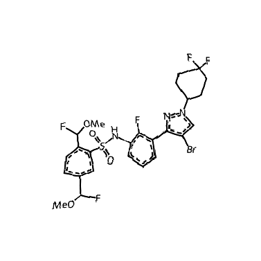 COC(F)c1ccc(C(F)OC)c(S(=O)(=O)Nc2cccc(-c3nn(C4CCC(F)(F)CC4)cc3Br)c2F)c1